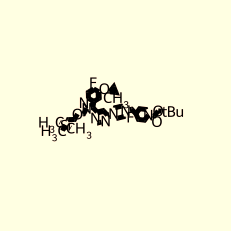 CC(C)(C)OC(=O)N1CCC(F)(CN2CCN(c3cc(-c4c5cc(OC6(C)CC6)c(F)cc5nn4COCC[Si](C)(C)C)ncn3)CC2)CC1